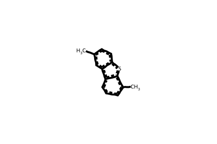 Cc1ccc2sc3c(C)cccc3c2c1